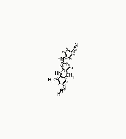 Cc1cc(N=[N+]=[N-])cc(C)c1Nc1ccnc(Nc2ccc(C#N)cc2)n1